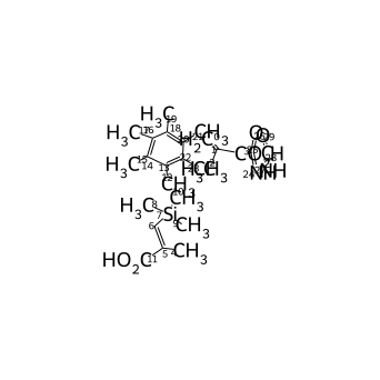 C=C(C)C(=O)O.CC(=C[Si](C)(C)C)C(=O)O.Cc1c(C)c(C)c(C)c(C)c1C.N=C=O.N=C=O